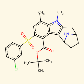 Cc1cc(S(=O)(=O)c2cccc(Cl)c2)c(C(=O)OC(C)(C)C)c2c3c(n(C)c12)CC1CCC3N1